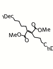 CCCCCCCCCCCCCC/C(C(=O)OC)=C(/CCCCCCCCCCCCCC)C(=O)OC